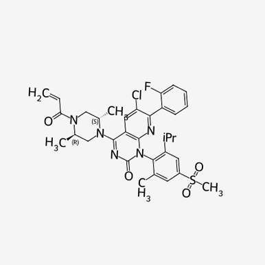 C=CC(=O)N1C[C@H](C)N(c2nc(=O)n(-c3c(C)cc(S(C)(=O)=O)cc3C(C)C)c3nc(-c4ccccc4F)c(Cl)cc23)C[C@H]1C